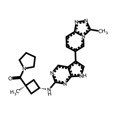 Cc1nnc2ccc(-c3c[nH]c4nc(N[C@H]5C[C@](C)(C(=O)N6CCCC6)C5)ncc34)cn12